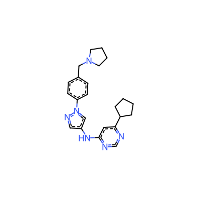 c1nc(Nc2cnn(-c3ccc(CN4CCCC4)cc3)c2)cc(C2CCCC2)n1